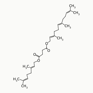 CC(C)=CCC/C(C)=C/CC/C(C)=C/COC(=O)CCC(=O)OC/C=C(\C)CCC=C(C)C